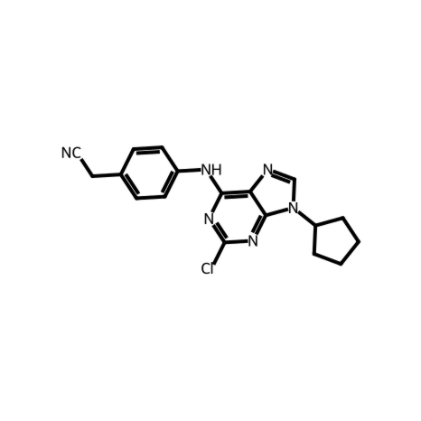 N#CCc1ccc(Nc2nc(Cl)nc3c2ncn3C2CCCC2)cc1